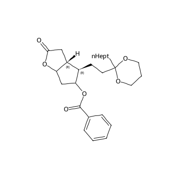 CCCCCCCC1(CC[C@H]2C(OC(=O)c3ccccc3)CC3OC(=O)C[C@@H]32)OCCCO1